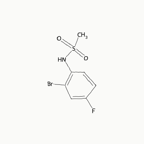 CS(=O)(=O)Nc1ccc(F)cc1Br